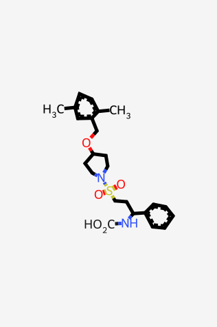 Cc1ccc(C)c(COC2CCN(S(=O)(=O)CCC(NC(=O)O)c3ccccc3)CC2)c1